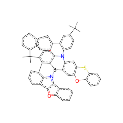 CC(C)(C)c1ccc(N2c3cc4c(cc3B3c5c2cc2c(c5-c5cccc6c7oc8ccccc8c7n3c56)C(C)(C)c3ccccc3-2)Oc2ccccc2S4)c(-c2ccccc2)c1